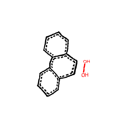 OO.c1ccc2c(c1)ccc1ccccc12